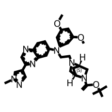 C=C(OC(C)(C)C)N1C[C@@H]2C[C@H]1CN2CCN(c1cc(OC)cc(OC)c1)c1ccc2ncc(-c3cnn(C)c3)nc2c1